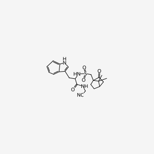 CC1(C)C2CCC1(CS(=O)(=O)NC(Cc1c[nH]c3ccccc13)C(=O)NCC#N)C(=O)C2